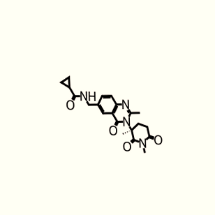 Cc1nc2ccc(CNC(=O)C3CC3)cc2c(=O)n1[C@@]1(C)CCC(=O)N(C)C1=O